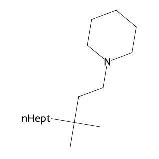 CCCCCCCC(C)(C)CCN1CCCCC1